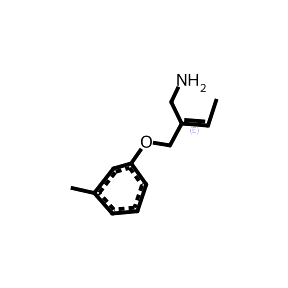 C/C=C(\CN)COc1cccc(C)c1